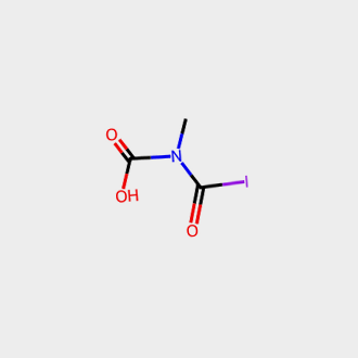 CN(C(=O)O)C(=O)I